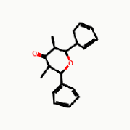 CC1C(=O)C(C)C(C2C=CC=CC2)OC1c1ccccc1